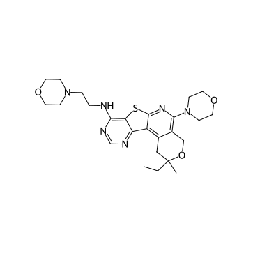 CCC1(C)Cc2c(c(N3CCOCC3)nc3sc4c(NCCN5CCOCC5)ncnc4c23)CO1